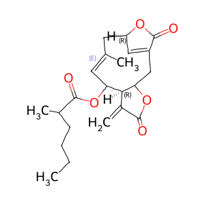 C=C1C(=O)OC2CC3=C[C@@H](C/C(C)=C/C(OC(=O)C(C)CCCC)[C@H]12)OC3=O